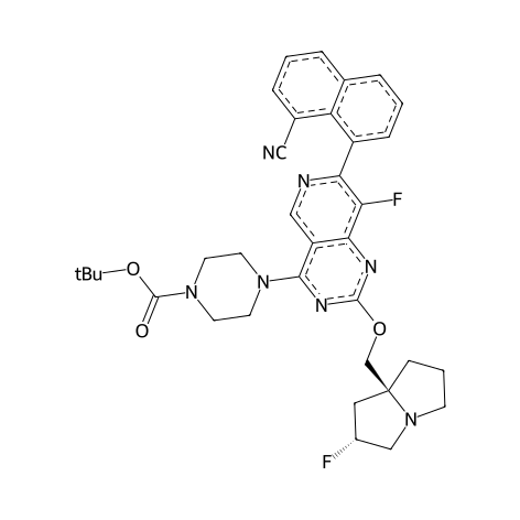 CC(C)(C)OC(=O)N1CCN(c2nc(OC[C@@]34CCCN3C[C@H](F)C4)nc3c(F)c(-c4cccc5cccc(C#N)c45)ncc23)CC1